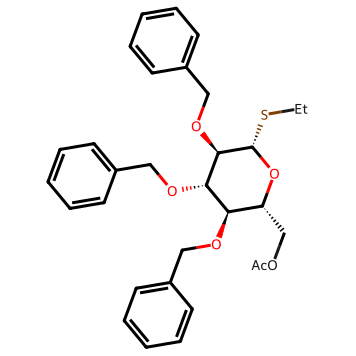 CCS[C@@H]1O[C@H](COC(C)=O)[C@@H](OCc2ccccc2)[C@H](OCc2ccccc2)[C@H]1OCc1ccccc1